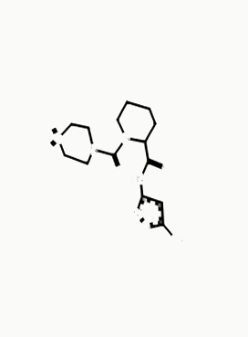 CC(C)(C)c1cc(NC(=O)C2CCCCN2C(=O)N2CCS(=O)(=O)CC2)no1